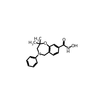 CC1(C)CN(c2ccccc2)Cc2ccc(C(=O)NO)cc2O1